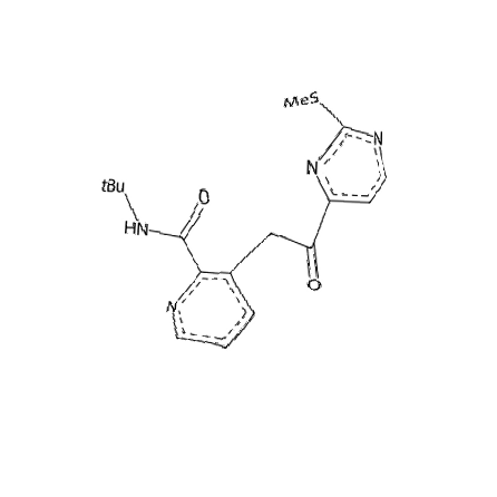 CSc1nccc(C(=O)Cc2cccnc2C(=O)NC(C)(C)C)n1